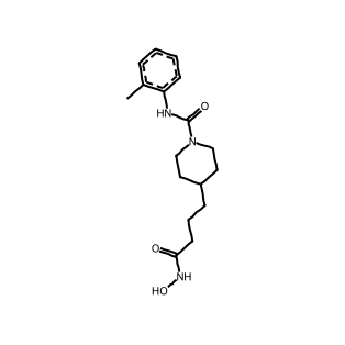 Cc1ccccc1NC(=O)N1CCC(CCCC(=O)NO)CC1